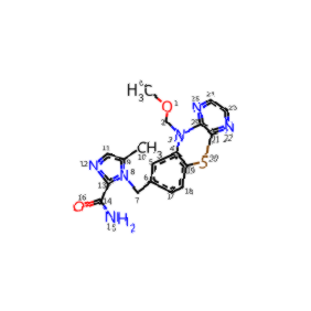 COCN1c2cc(Cn3c(C)[c]nc3C(N)=O)ccc2Sc2nccnc21